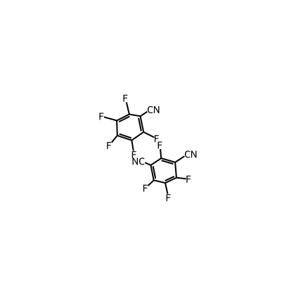 N#Cc1c(F)c(F)c(F)c(C#N)c1F.N#Cc1c(F)c(F)c(F)c(F)c1F